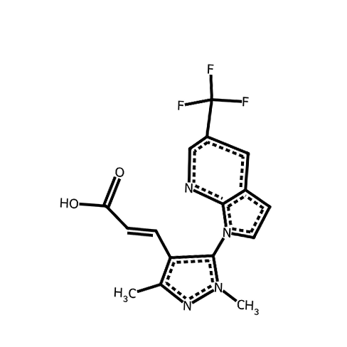 Cc1nn(C)c(-n2ccc3cc(C(F)(F)F)cnc32)c1C=CC(=O)O